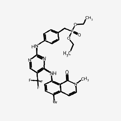 CCOP(=O)(Cc1ccc(Nc2ncc(C(F)(F)F)c(Nc3ccc(Br)c4ccn(C)c(=O)c34)n2)cc1)OCC